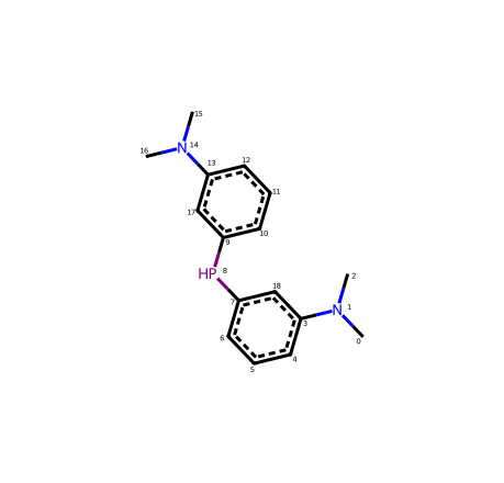 CN(C)c1cccc(Pc2cccc(N(C)C)c2)c1